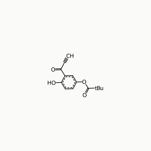 C#CC(=O)c1cc(OC(=O)C(C)(C)C)ccc1O